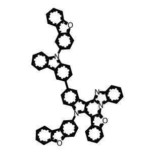 c1ccc2c(c1)nc1c3c4cc(-c5ccc6c(c5)c5ccccc5n6-c5ccc6oc7ccccc7c6c5)ccc4n(-c4ccc5oc6ccccc6c5c4)c3c3c4ccccc4oc3n21